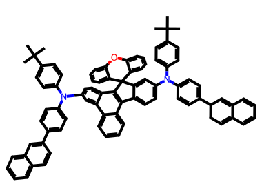 CC(C)(C)c1ccc(N(c2ccc(C3C=c4ccccc4=CC3)cc2)c2ccc3c(c2)C2(c4ccccc4Oc4ccccc42)c2c-3c3ccccc3c3cc(N(c4ccc(-c5ccc6ccccc6c5)cc4)c4ccc(C(C)(C)C)cc4)ccc23)cc1